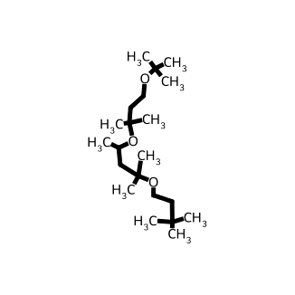 CC(CC(C)(C)OCCC(C)(C)C)OC(C)(C)CCOC(C)(C)C